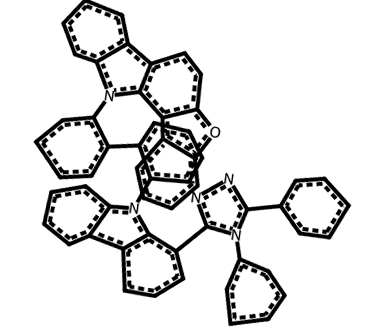 c1ccc(-c2nnc(-c3cccc4c5ccccc5n(-c5ccccc5-c5ccccc5-n5c6ccccc6c6ccc7oc8ccccc8c7c65)c34)n2-c2ccccc2)cc1